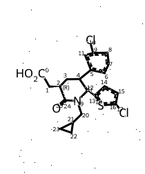 O=C(O)C[C@H]1CC(c2cccc(Cl)c2)[C@@H](c2ccc(Cl)s2)N(CC2CC2)C1=O